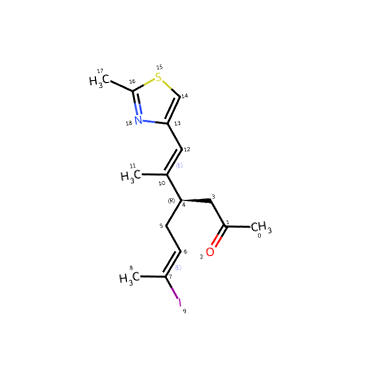 CC(=O)C[C@@H](C/C=C(\C)I)/C(C)=C/c1csc(C)n1